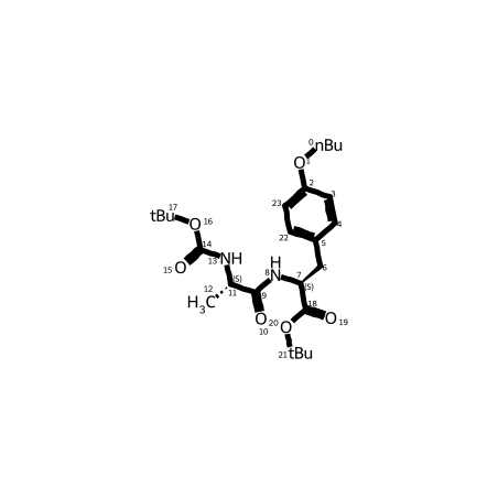 CCCCOc1ccc(C[C@H](NC(=O)[C@H](C)NC(=O)OC(C)(C)C)C(=O)OC(C)(C)C)cc1